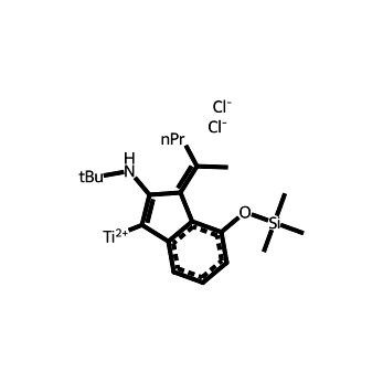 CCCC(C)=C1C(NC(C)(C)C)=[C]([Ti+2])c2cccc(O[Si](C)(C)C)c21.[Cl-].[Cl-]